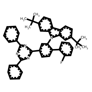 CC(C)(C)c1ccc2c3ccc(C(C)(C)C)cc3n(-c3cc(-c4nc(-c5ccccc5)nc(-c5ccccc5)n4)ccc3-c3ccccc3F)c2c1